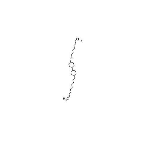 CCCCCCCCCCC1CCC(C2CCC(CCCCCCCCCC)CC2)CC1